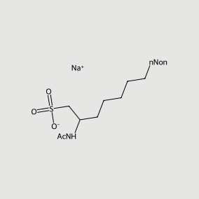 CCCCCCCCCCCCCCC(CS(=O)(=O)[O-])NC(C)=O.[Na+]